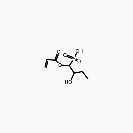 C=CC(=O)OC(C(O)CC)S(=O)(=O)O